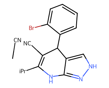 CC#N.CC(C)C1=C(C#N)C(c2ccccc2Br)c2c[nH]nc2N1